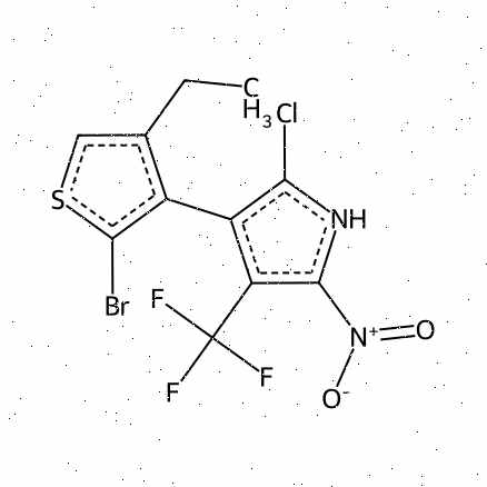 CCc1csc(Br)c1-c1c(Cl)[nH]c([N+](=O)[O-])c1C(F)(F)F